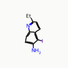 CCc1ccc2c(I)c(N)ccc2n1